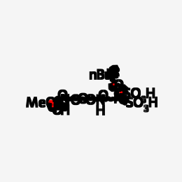 CCCCN1/C(=C/C=C2\CCCC(/C=C/C3=[N+](CCCCCC(=O)NCCCOCCOCCOCCCNC(=O)c4ccc(C(=O)OC)c(P(=O)(c5ccccc5)c5ccccc5)c4)c4ccc(S(=O)(=O)O)cc4C3(C)C)=C2Oc2ccc(S(=O)(=O)O)cc2)C(C)(C)c2ccccc21